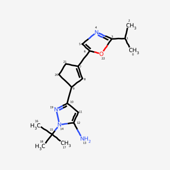 CC(C)c1ncc(C2=CC(c3cc(N)n(C(C)(C)C)n3)CC2)o1